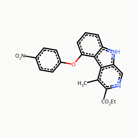 CCOC(=O)c1ncc2[nH]c3cccc(Oc4ccc([N+](=O)[O-])cc4)c3c2c1C